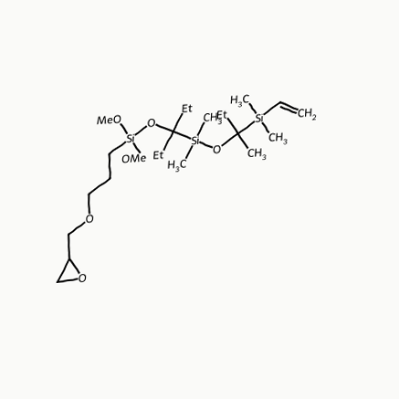 C=C[Si](C)(C)C(C)(CC)O[Si](C)(C)C(CC)(CC)O[Si](CCCOCC1CO1)(OC)OC